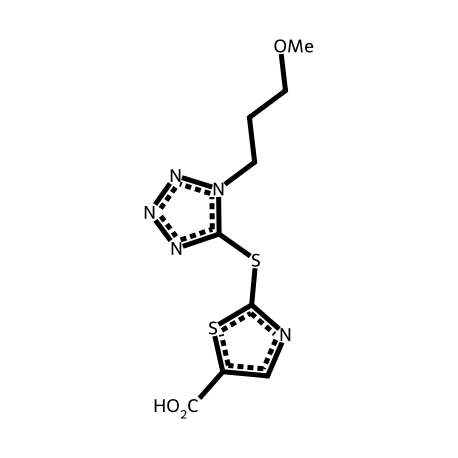 COCCCn1nnnc1Sc1ncc(C(=O)O)s1